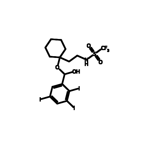 O=S(=O)(NCCC1(OC(O)c2cc(I)cc(I)c2I)CCCCC1)C(F)(F)F